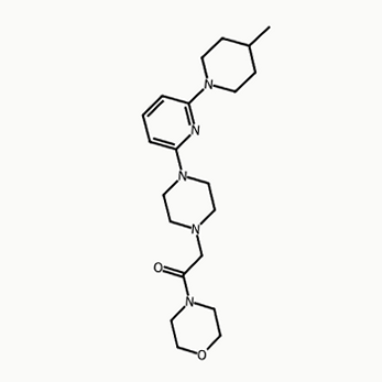 CC1CCN(c2cccc(N3CCN(CC(=O)N4CCOCC4)CC3)n2)CC1